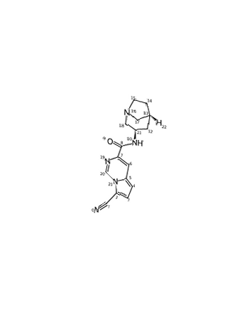 N#Cc1ccc2cc(C(=O)N[C@@H]3C[C@H]4CCN(C4)C3)ncn12